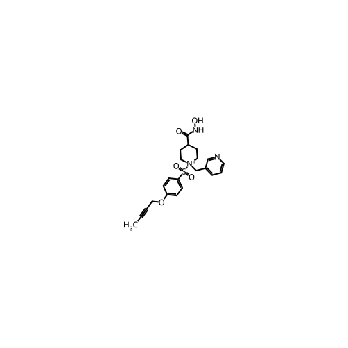 CC#CCOc1ccc(S(=O)(=O)[N+]2(Cc3cccnc3)CCC(C(=O)NO)CC2)cc1